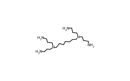 NCCCN(CCCN)CCCCCCCN(CCCN)CCCN